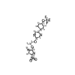 CC(COc1cnc(-c2ccc(OC(F)(F)F)cc2)cn1)Oc1nc([N+](=O)[O-])cn1C